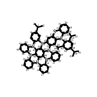 CC(C)c1ccc2c(c1)B1c3cc4c(cc3N3c5ccccc5B5c6ccccc6N6c7ccccc7B7c8ccccc8N2c2c7c6c5c3c21)B(c1c(C(C)C)cc(C(C)C)cc1C(C)C)c1ccccc1S4